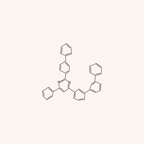 c1ccc(-c2ccc(-c3nc(-c4ccccc4)cc(-c4cccc(-c5cccc(-c6ccccc6)c5)c4)n3)cc2)cc1